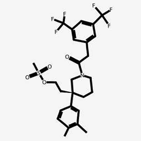 Cc1ccc([C@@]2(CCOS(C)(=O)=O)CCCN(C(=O)Cc3cc(C(F)(F)F)cc(C(F)(F)F)c3)C2)cc1C